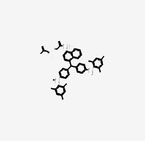 C=C(COC(=O)C(=C)C)Nc1ccc(C(c2ccc(N(C)c3c(C)cc(C)cc3C)cc2)c2ccc(N(C)c3c(C)cc(C)cc3C)cc2)c2ccccc12